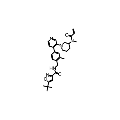 C=CC(=O)N(C)C1CCCN(c2cnccc2-c2ccc(CNC(=O)c3cc(C(C)(C)C)on3)c(C)c2)C1